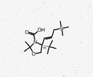 CC1(C)OC[C@@](C=CC[Si](C)(C)C)(C(C)(C)C)N1C(=O)O